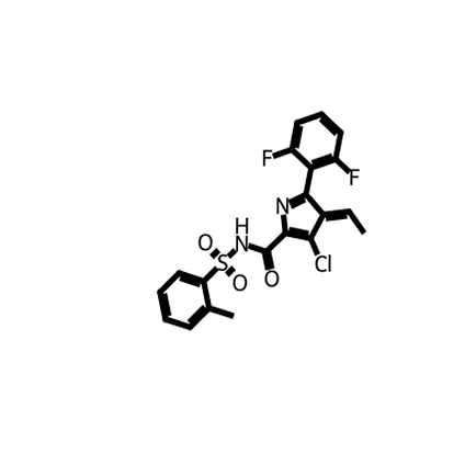 C/C=C1/C(c2c(F)cccc2F)=NC(C(=O)NS(=O)(=O)c2ccccc2C)=C1Cl